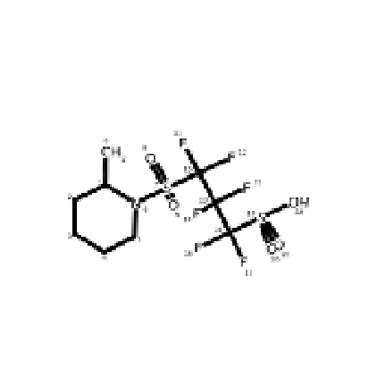 CC1CCCCN1S(=O)(=O)C(F)(F)C(F)(F)C(F)(F)S(=O)(=O)O